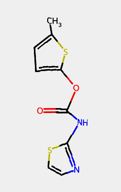 Cc1ccc(OC(=O)Nc2nccs2)s1